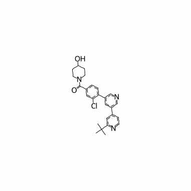 CC(C)(C)c1cc(-c2cncc(-c3ccc(C(=O)N4CCC(O)CC4)cc3Cl)c2)ccn1